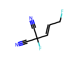 N#CC(F)(C#N)C=CCF